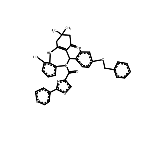 CC1(C)CC(=O)C2=C(C1)Nc1c(O)cccc1N(C(=O)c1csc(-c3ccncc3)n1)C2c1ccc(OCc2ccccc2)cc1F